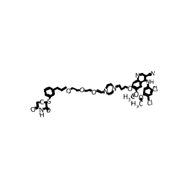 COc1cc(Nc2c(C#N)cnc3cc(OCCCN4CCN(CCOCCOCCOCCCc5cccc(SC6CCC(=O)NC6=O)c5)CC4)c(OC)cc23)c(Cl)cc1Cl